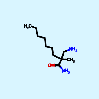 CCCCCCCC(C)(CN)C(N)=O